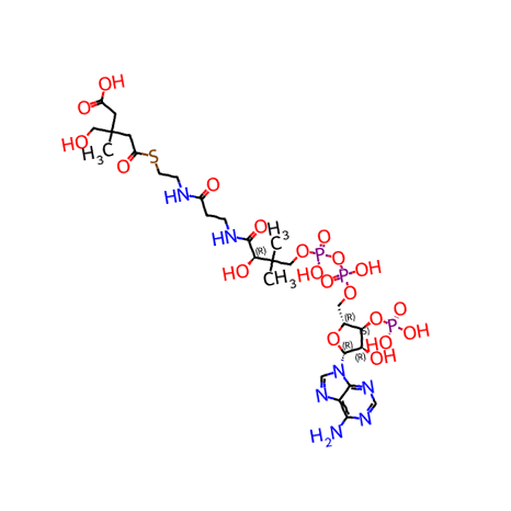 CC(CO)(CC(=O)O)CC(=O)SCCNC(=O)CCNC(=O)[C@H](O)C(C)(C)COP(=O)(O)OP(=O)(O)OC[C@H]1O[C@@H](n2cnc3c(N)ncnc32)[C@H](O)[C@@H]1OP(=O)(O)O